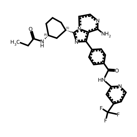 CCC(=O)N[C@@H]1CCC[C@H](c2nc(-c3ccc(C(=O)Nc4cc(C(F)(F)F)ccn4)cc3)c3c(N)nccn23)C1